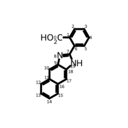 O=C(O)c1ccccc1-c1nc2cc3ccccc3cc2[nH]1